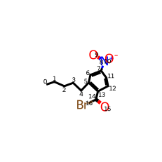 CCCCCc1cc([N+](=O)[O-])ccc1C(=O)Br